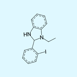 CCN1c2ccccc2NC1c1ccccc1I